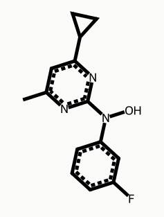 Cc1cc(C2CC2)nc(N(O)c2cccc(F)c2)n1